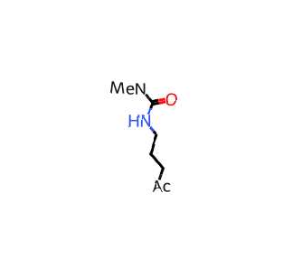 CNC(=O)NCCCC(C)=O